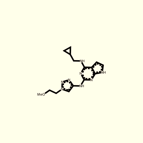 COCCn1cc(Nc2nc(NCC3CC3)c3cc[nH]c3n2)nn1